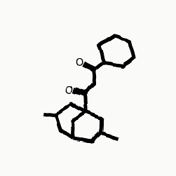 CC1CC2CC(C)CC(C(=O)CC(=O)C3CCCCC3)(C1)C2